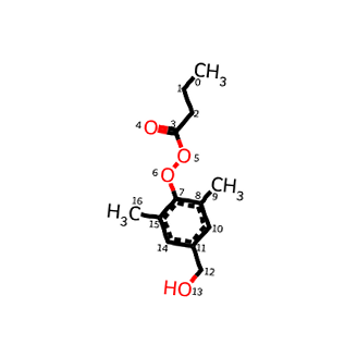 CCCC(=O)OOc1c(C)cc(CO)cc1C